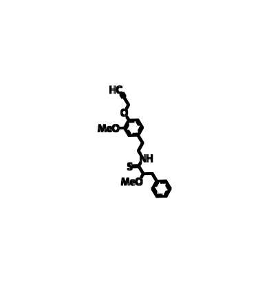 C#CCOc1ccc(CCNC(=S)C(Cc2ccccc2)OC)cc1OC